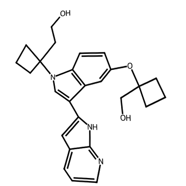 OCCC1(n2cc(-c3cc4cccnc4[nH]3)c3cc(OC4(CO)CCC4)ccc32)CCC1